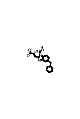 COCn1c(/C=C(\O)C(=O)O)nc2cc(Cc3ccccc3)ccc21